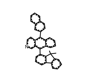 CC1(C)c2ccccc2-c2cccc(-c3c4ccccc4c(-c4ccc5ccccc5c4)c4ccncc34)c21